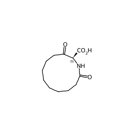 O=C1CCCCCCCCC(=O)[C@@H](C(=O)O)N1